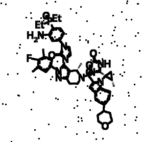 CCP(=O)(CC)c1ccc(-n2ccn(-c3c4c(nn3-c3cc(C)c(F)c(C)c3)CCN(C(=O)c3cc5cc(C6CCOCC6)ccc5n3[C@@]3(c5noc(=O)[nH]5)C[C@@H]3C)[C@H]4C)c2=O)cc1N